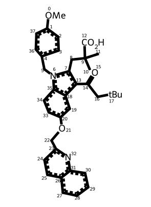 COc1ccc(Cn2c(CC(C)(C)C(=O)O)c(C(=O)CC(C)(C)C)c3cc(OCc4ccc5ccccc5n4)ccc32)cc1